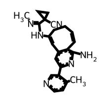 C/N=C(/N/C1=C/c2cc(-c3cnccc3C)nc(N)c2/C=C\CC1)C1(C#N)CC1